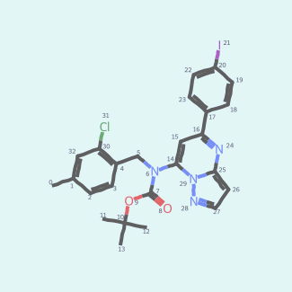 Cc1ccc(CN(C(=O)OC(C)(C)C)c2cc(-c3ccc(I)cc3)nc3ccnn23)c(Cl)c1